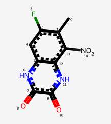 Cc1c(F)cc2[nH]c(=O)c(=O)[nH]c2c1[N+](=O)[O-]